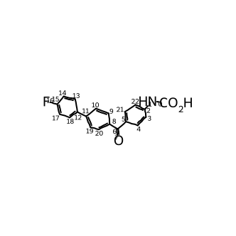 O=C(O)Nc1ccc(C(=O)c2ccc(-c3ccc(F)cc3)cc2)cc1